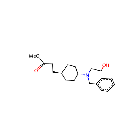 COC(=O)CC[C@H]1CC[C@H](N(CCO)Cc2ccccc2)CC1